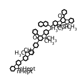 CCCCCCCC1(CCCCCCC)c2ccccc2-c2ccc(-c3ccc4c(c3)C(C)(C)c3cc(-c5ccc(-c6cc7c(c8c6oc6ccccc68)-c6ccc(CC(c8ccc9c(c8)C(C)(C)c8c%10c(c%11c(oc%12ccccc%12%11)c8-9)-c8ccccc8C%10(C)C)c8ccc9ccccc9c8)cc6C7(C)C)cc5)ccc3-4)cc21